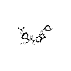 O=C(N[C@H](CO)c1ccc(OC(F)F)cc1)N1CCc2cnc(NC3CCOCC3)nc2C1